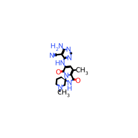 Cc1cc(Nc2ncnc(N)c2C#N)c(=O)n2c1C(=O)N[C@@]21CCCN(C)C1